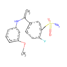 C=C(Nc1cccc(OC)c1)c1ccc(F)c(S(N)(=O)=O)c1